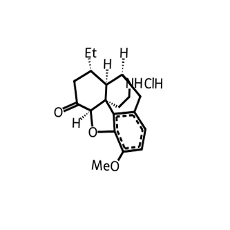 CC[C@H]1CC(=O)[C@@H]2Oc3c(OC)ccc4c3[C@@]23CCN[C@H](C4)[C@H]13.Cl